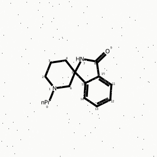 CCCN1CCCC2(C1)NC(=O)c1ccccc12